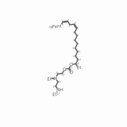 CCCCC/C=C\C/C=C\CCCCCCCCC(CC)OC(=O)OCCN(CC)CCNCC